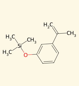 C=C(C)c1cccc(O[Si](C)(C)C)c1